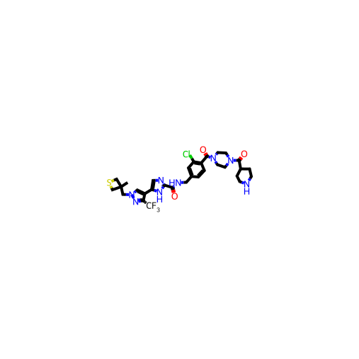 CC1(Cn2cc(-c3cnc(C(=O)NCc4ccc(C(=O)N5CCN(C(=O)C6CCNCC6)CC5)c(Cl)c4)[nH]3)c(C(F)(F)F)n2)CSC1